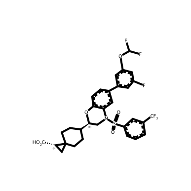 O=C(O)[C@H]1CC12CCC([C@@H]1CN(S(=O)(=O)c3cccc(C(F)(F)F)c3)c3cc(-c4cc(F)cc(OC(F)F)c4)ccc3O1)CC2